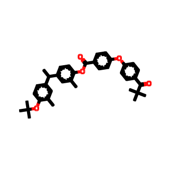 Cc1cc(C(C)c2ccc(OC(C)(C)C)c(C)c2)ccc1OC(=O)c1ccc(Oc2ccc(C(=O)C(C)(C)C)cc2)cc1